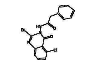 CCc1nc2cccc(Cl)c2c(=O)n1NC(=O)Cc1ccccc1